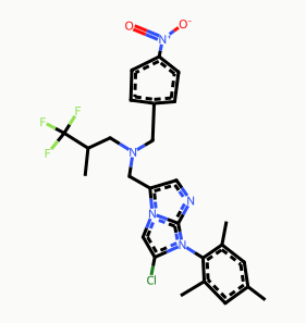 Cc1cc(C)c(-n2c(Cl)cn3c(CN(Cc4ccc([N+](=O)[O-])cc4)CC(C)C(F)(F)F)cnc23)c(C)c1